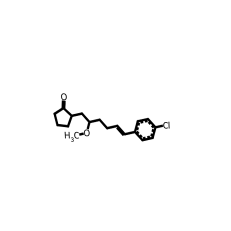 COC(CCC=Cc1ccc(Cl)cc1)CC1CCCC1=O